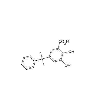 CC(C)(c1ccccc1)c1cc(O)c(O)c(C(=O)O)c1